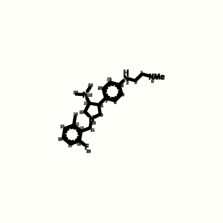 CNCCNc1ccc(C2CN(Cc3c(C)cccc3F)CC2N(C)C)cc1